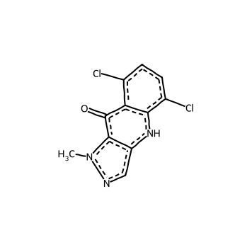 Cn1ncc2[nH]c3c(Cl)ccc(Cl)c3c(=O)c21